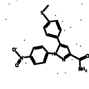 CSc1ccc(-c2cc(C(N)=O)nn2-c2ccc([N+](=O)[O-])cc2)cc1